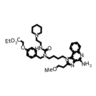 CCOC(=O)COc1ccc(CN(CCCCn2c(CCOC)nc3c(N)nc4ccccc4c32)C(=O)NCCN2CCCCC2)cc1